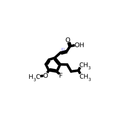 COc1ccc(/C=C/C(=O)O)c(CCC(C)C)c1F